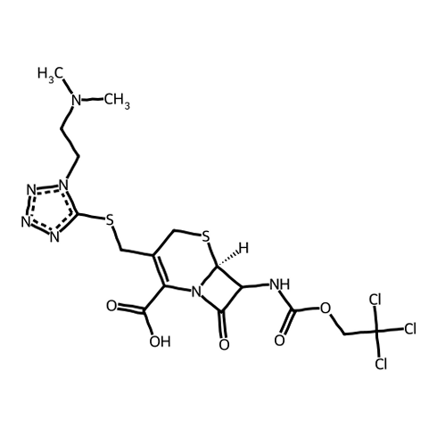 CN(C)CCn1nnnc1SCC1=C(C(=O)O)N2C(=O)C(NC(=O)OCC(Cl)(Cl)Cl)[C@@H]2SC1